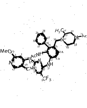 COc1cc(Nc2ncc(C(F)(F)F)c(Nc3ccc(CN4CCN(C(C)=O)C[C@@H]4C)c(-c4ccccc4)c3NC(C)=O)n2)c(C)cn1